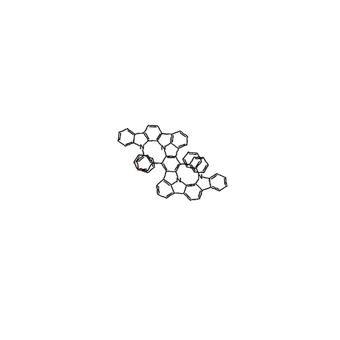 c1ccc(-c2c3c4cccc5c6ccc7c8ccccc8n(-c8ccccc8)c7c6n(c3c(-c3ccccc3)c3c6cccc7c8ccc9c%10ccccc%10n(-c%10ccccc%10)c9c8n(c23)c76)c54)cc1